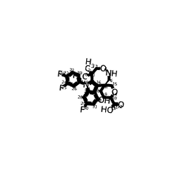 CC1(C)CONC[C@@]2(CCC(C(=O)O)OC2)c2c1n(-c1ccc(F)c(F)c1)c1cc(F)cc(O)c21